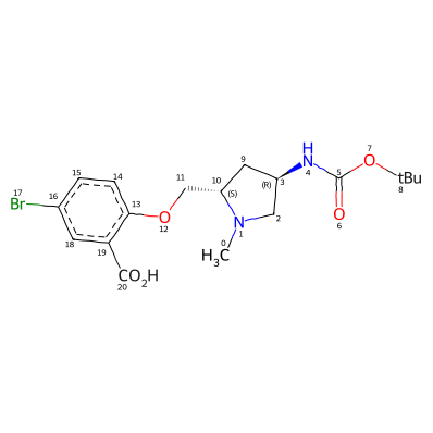 CN1C[C@H](NC(=O)OC(C)(C)C)C[C@H]1COc1ccc(Br)cc1C(=O)O